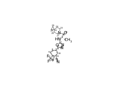 C[C@H](Nc1nnc(-c2ccc(C(F)(F)F)c(C#N)c2)o1)C(=O)N1CCC2(CC1)CC2